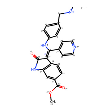 CCNCc1ccc(N/C(=C2\C(=O)Nc3cc(C(=O)OC)ccc32)c2ccncc2)cc1